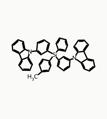 Cc1ccc([Si](c2ccccc2)(c2cccc(-n3c4ccccc4c4ccccc43)c2)c2cccc(-n3c4ccccc4c4ccccc43)c2)cc1